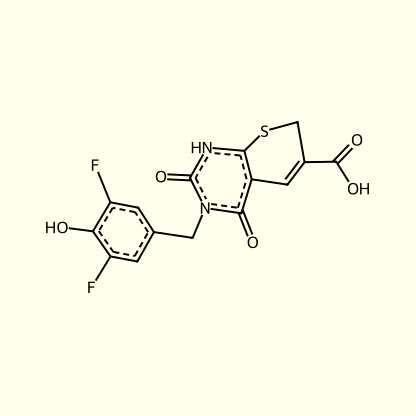 O=C(O)C1=Cc2c([nH]c(=O)n(Cc3cc(F)c(O)c(F)c3)c2=O)SC1